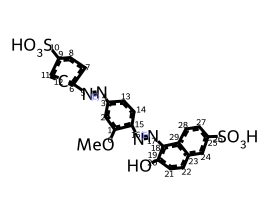 COc1cc(/N=N/c2ccc(S(=O)(=O)O)cc2)ccc1/N=N/c1c(O)ccc2cc(S(=O)(=O)O)ccc12